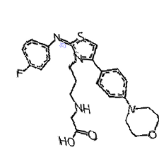 O=C(O)CNCCCn1c(-c2ccc(N3CCOCC3)cc2)cs/c1=N/c1ccc(F)cc1